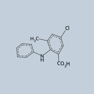 Cc1cc(Cl)cc(C(=O)O)c1Nc1ccccc1